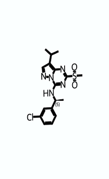 CC(C)c1cnn2c(N[C@@H](C)c3cccc(Cl)c3)nc(S(C)(=O)=O)nc12